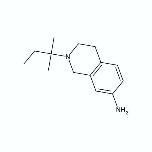 CCC(C)(C)N1CCc2ccc(N)cc2C1